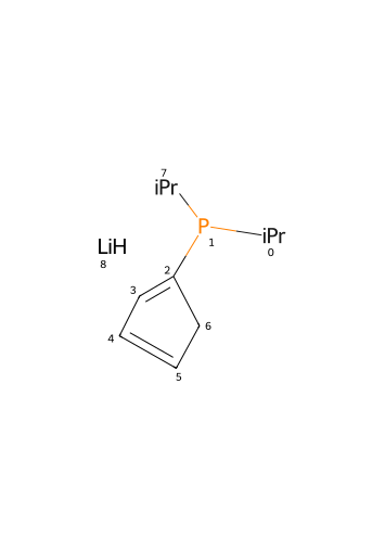 CC(C)P(C1=CC=CC1)C(C)C.[LiH]